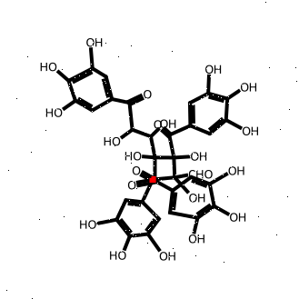 O=CC(O)(C(=O)c1cc(O)c(O)c(O)c1)C(O)(C(=O)c1cc(O)c(O)c(O)c1)C(O)(C(=O)c1cc(O)c(O)c(O)c1)C(O)C(O)C(=O)c1cc(O)c(O)c(O)c1